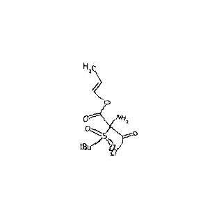 CC=COC(=O)C(N)(C(=O)Cl)S(=O)(=O)C(C)(C)C